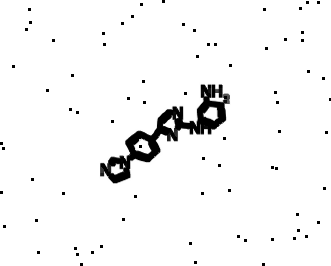 Nc1cccc(Nc2nccc(-c3ccc(-n4ccnc4)cc3)n2)c1